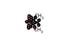 Cc1ccc(N2c3cc(N(c4ccccc4)c4ccccc4)cc4c3B3c5c2c2ccc6cccc7ccc(c5N(c5ccccc5)c5c3c(c3ccc8cccc9ccc5c3c89)N4c3ccc(C)cc3)c2c67)cc1